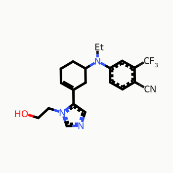 CCN(c1ccc(C#N)c(C(F)(F)F)c1)C1CCC=C(c2cncn2CCO)C1